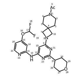 CC(=O)N1CCC2(CC1)CN(c1cc(Nc3cc(OC(F)F)ccn3)nc(C3CCOCC3)n1)C2